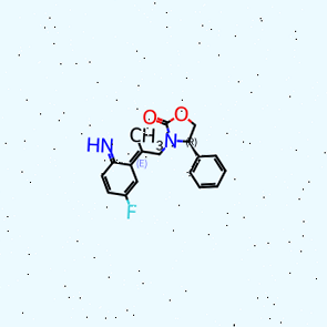 C/C(CN1C(=O)OC[C@H]1c1ccccc1)=C1/C=C(F)C=CC1=N